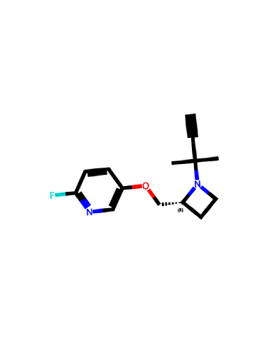 C#CC(C)(C)N1CC[C@@H]1COc1ccc(F)nc1